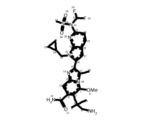 COc1c(C(C)(C)CN)c(C(N)=O)cc2nc(-c3cc4ccc(N(C(F)F)S(C)(=O)=O)nc4n3CC3CC3)c(C)n12